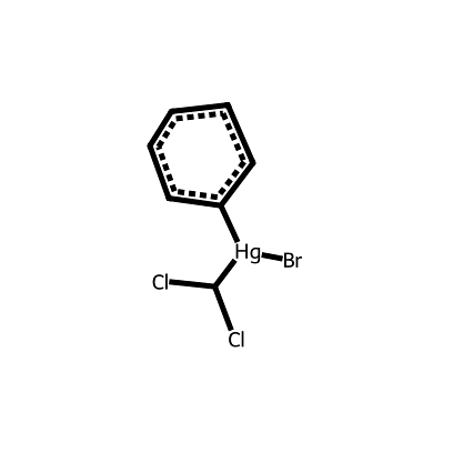 Cl[CH](Cl)[Hg]([Br])[c]1ccccc1